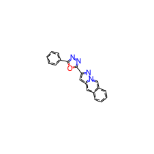 c1ccc(-c2nnc(-c3cc4cc5ccccc5cn4n3)o2)cc1